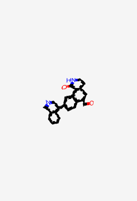 O=Cc1cc2cc[nH]c(=O)c2c2cc(-c3cncc4ccccc34)ccc12